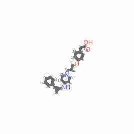 O=C(O)Cc1ccc(OCCCN2CCC(N[C@@H]3C[C@H]3c3ccccc3)CC2)cc1